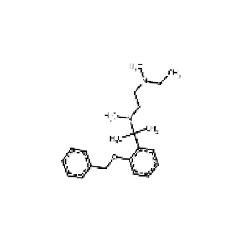 CCN(C)CCN(C)C(C)(C)c1ccccc1OCc1ccccc1